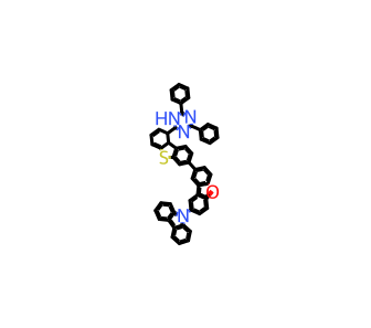 C1=CC(C2N=C(c3ccccc3)N=C(c3ccccc3)N2)C2C(=C1)Sc1cc(-c3ccc4oc5ccc(-n6c7ccccc7c7ccccc76)cc5c4c3)ccc12